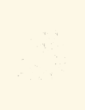 Cc1ccc(C(=O)N2CC3CC(Nc4ccc(C(F)F)cn4)C2C3)c(-c2ncccn2)n1